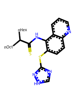 CCCCCCCCC(CCCCCC)C(=S)Nc1c(Sc2nc[nH]n2)ccc2ncccc12